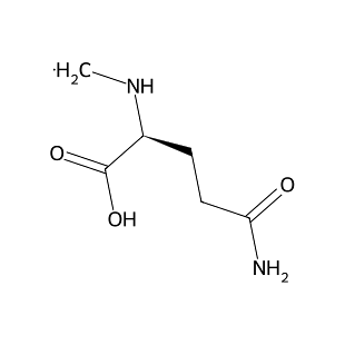 [CH2]N[C@@H](CCC(N)=O)C(=O)O